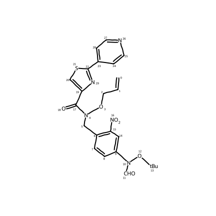 C=CCON(Cc1ccc(N(C=O)OC(C)(C)C)cc1[N+](=O)[O-])C(=O)c1csc(-c2ccncc2)n1